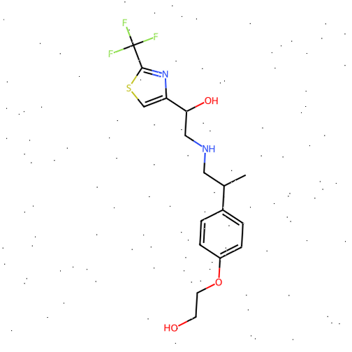 CC(CNCC(O)c1csc(C(F)(F)F)n1)c1ccc(OCCO)cc1